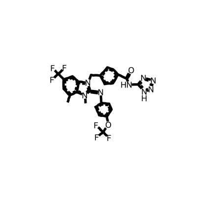 Cc1cc(C(F)(F)F)cc2c1n(C)/c(=N\c1ccc(OC(F)(F)F)cc1)n2Cc1ccc(C(=O)Nc2nnn[nH]2)cc1